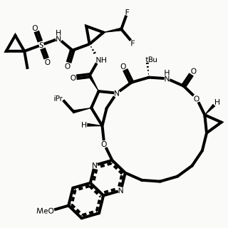 COc1ccc2nc3c(nc2c1)O[C@H]1CN(C(=O)[C@H](C(C)(C)C)NC(=O)O[C@@H]2CC2CCCCC3)[C@H](C(=O)N[C@]2(C(=O)NS(=O)(=O)C3(C)CC3)C[C@H]2C(F)F)[C@@H]1CC(C)C